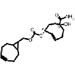 NC(=O)[C@]1(O)CC/C=C/[C@H](OC(=O)OCC2C3CCC#CCCC32)CC1